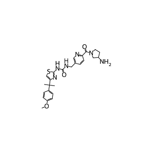 COc1ccc(C(C)(C)c2csc(NC(=O)NCc3ccc(C(=O)N4CCC(N)C4)nc3)n2)cc1